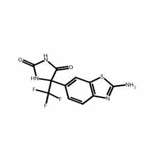 Nc1nc2ccc(C3(C(F)(F)F)NC(=O)NC3=O)cc2s1